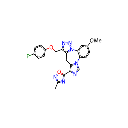 COc1ccc2c(c1)-n1nnc(COc3ccc(F)cc3)c1Cc1c(-c3nc(C)no3)ncn1-2